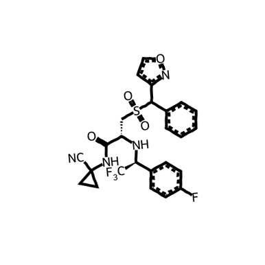 N#CC1(NC(=O)[C@H](CS(=O)(=O)C(c2ccccc2)c2ccon2)N[C@@H](c2ccc(F)cc2)C(F)(F)F)CC1